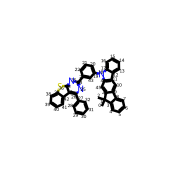 CC1(C)c2ccccc2-c2cc3c4ccccc4n(-c4cccc(-c5nc(-c6ccccc6)c6c(n5)sc5ccccc56)c4)c3cc21